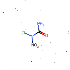 NC(=O)N(Cl)[N+](=O)[O-]